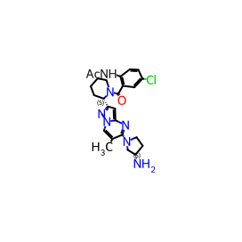 CC(=O)Nc1ccc(Cl)cc1C(=O)N1CCCC[C@H]1c1cc2nc(N3CC[C@H](N)C3)c(C)cn2n1